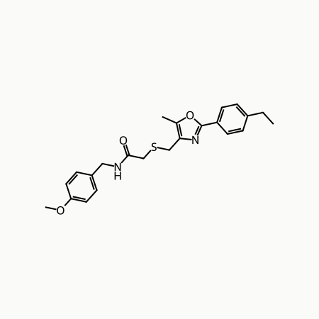 CCc1ccc(-c2nc(CSCC(=O)NCc3ccc(OC)cc3)c(C)o2)cc1